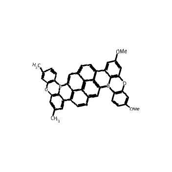 COc1ccc2c(c1)Oc1cc(OC)cc3c1B2c1cc2ccc4c5c(cc6ccc-3c1c6c25)B1c2ccc(C)cc2Oc2cc(C)cc-4c21